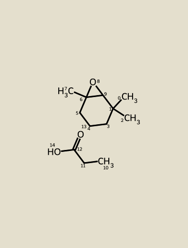 CC1(C)CCCC2(C)OC12.CCC(=O)O